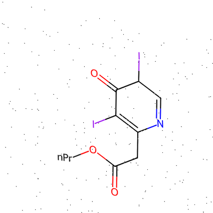 CCCOC(=O)CC1=C(I)C(=O)C(I)C=N1